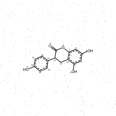 O=C1Oc2cc(O)cc(O)c2CC1c1ccc(O)cc1